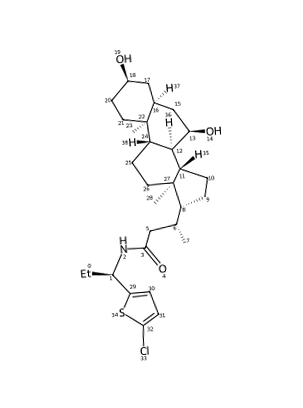 CC[C@@H](NC(=O)C[C@@H](C)[C@H]1CC[C@H]2[C@@H]3[C@H](O)C[C@@H]4C[C@H](O)CC[C@]4(C)[C@H]3CC[C@]12C)c1ccc(Cl)s1